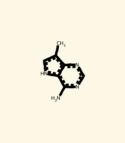 Cc1c[nH]c2c(N)ncnc12